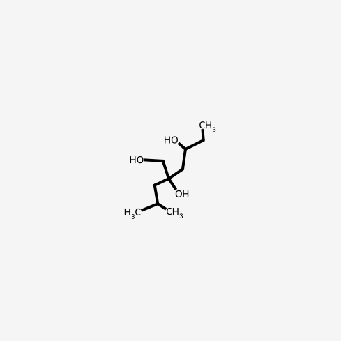 CCC(O)CC(O)(CO)CC(C)C